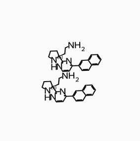 NCC[C@]1(c2nccc(-c3ccc4ccccc4c3)n2)CCCN1.NCC[C@]1(c2nccc(-c3ccc4ccccc4c3)n2)CCCN1